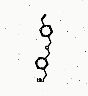 C=Cc1ccc(COCc2cccc(CC(C)(C)C)c2)cc1